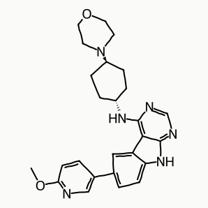 COc1ccc(-c2ccc3[nH]c4ncnc(N[C@H]5CC[C@H](N6CCOCC6)CC5)c4c3c2)cn1